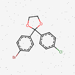 Clc1ccc(C2(c3ccc(Br)cc3)OCCO2)cc1